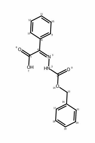 O=C(NN=C(C(=O)O)c1ccccc1)OCc1ccccc1